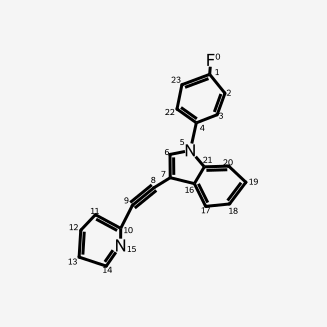 Fc1ccc(-n2cc(C#Cc3ccccn3)c3ccccc32)cc1